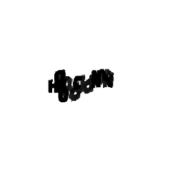 O=C1CCC(c2cccc(-c3ccc4c(cnn4Cc4ncccn4)c3)c2Cl)C(=O)N1